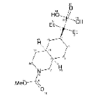 CCC(CC)([C@H]1CC[C@H]2CN(C(=O)OC)CC[C@H]2C1)P(=O)(O)O